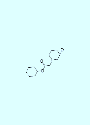 O=C(C[C]1CCC2OC2C1)OC1CCCCC1